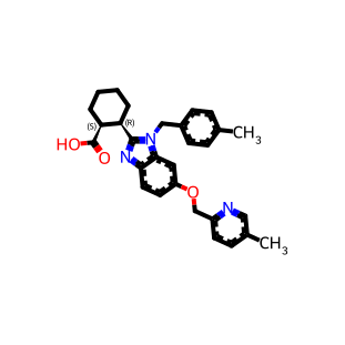 Cc1ccc(Cn2c([C@@H]3CCCC[C@@H]3C(=O)O)nc3ccc(OCc4ccc(C)cn4)cc32)cc1